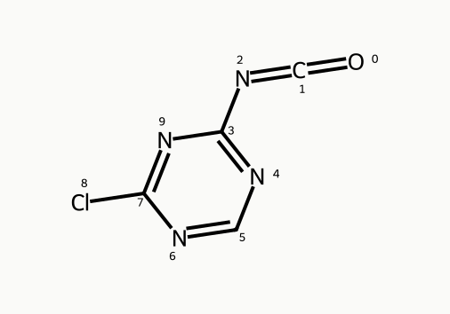 O=C=Nc1ncnc(Cl)n1